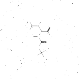 CC(C)[C@@H](O)[C@@H](C(=O)O)N(C)C(=O)OC(C)(C)C